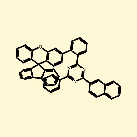 c1ccc(-c2nc(-c3ccc4ccccc4c3)nc(-c3ccccc3-c3ccc4c(c3)Oc3ccccc3C43c4ccccc4-c4ccccc43)n2)cc1